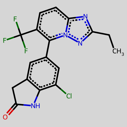 CCc1nc2ccc(C(F)(F)F)c(-c3cc(Cl)c4c(c3)CC(=O)N4)n2n1